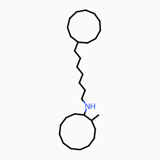 CC1CCCCCCCCCCC1NCCCCCCCC1CCCCCCCCCC1